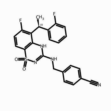 C[C@@H](c1ccccc1F)c1c(F)ccc2c1NC(NCc1ccc(C#N)cc1)=NS2(=O)=O